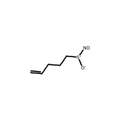 C=CCCC[S+]([O-])N=O